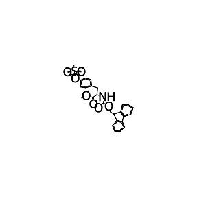 COC(=O)C(Cc1ccc(OS(C)(=O)=O)cc1)NC(=O)OCC1c2ccccc2-c2ccccc21